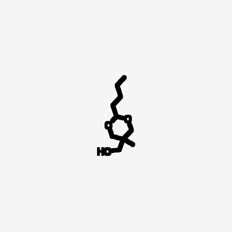 CCCCC1OCC(C)(CO)CO1